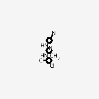 Cc1cc(Cl)cc(Cl)c1Nc1ccnc(Nc2ccc(C#N)cc2)c1